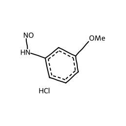 COc1cccc(NN=O)c1.Cl